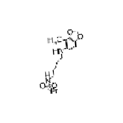 Cc1c(NCCCCCNS(=O)(=O)C(C)C)ccc2c1OCO2